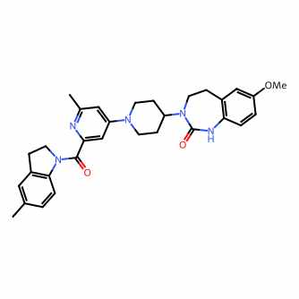 COc1ccc2c(c1)CCN(C1CCN(c3cc(C)nc(C(=O)N4CCc5cc(C)ccc54)c3)CC1)C(=O)N2